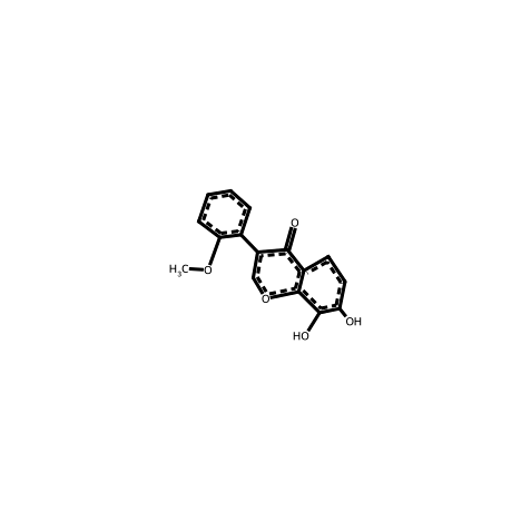 COc1ccccc1-c1coc2c(O)c(O)ccc2c1=O